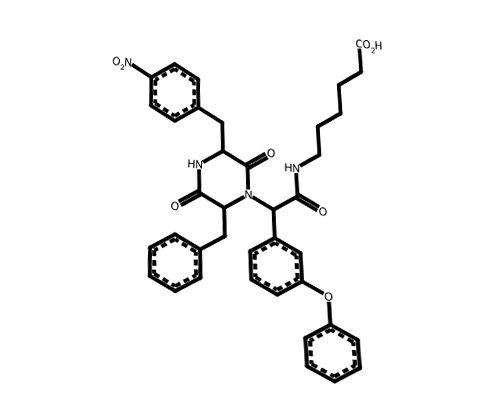 O=C(O)CCCCCNC(=O)C(c1cccc(Oc2ccccc2)c1)N1C(=O)C(Cc2ccc([N+](=O)[O-])cc2)NC(=O)C1Cc1ccccc1